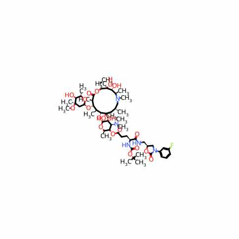 CC[C@H]1OC(=O)[C@H](C)[C@@H](O[C@H]2C[C@@](C)(OC)[C@@H](O)[C@H](C)O2)[C@H](C)[C@@H](O[C@@H]2O[C@H](C)C(OC(=O)CC[C@H](NC(=O)OC(C)(C)C)C(=O)NC[C@H]3CN(c4cccc(F)c4)C(=O)O3)[C@H](N(C)C)[C@H]2O)[C@](C)(O)C[C@@H](C)CN(C)[C@H](C)[C@@H](O)[C@]1(C)O